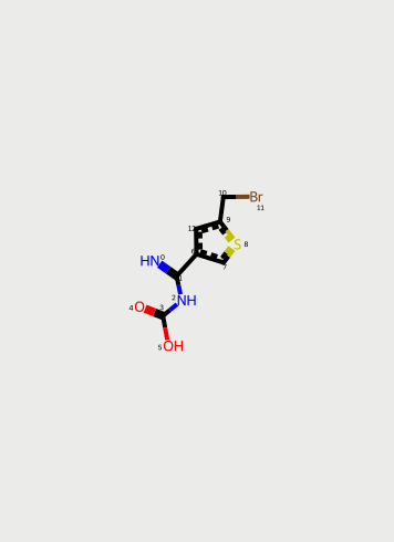 N=C(NC(=O)O)c1csc(CBr)c1